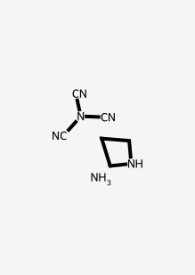 C1CNC1.N.N#CN(C#N)C#N